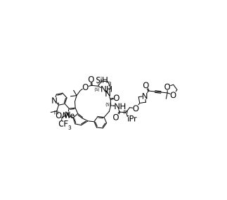 CO[C@@H](C)c1ncccc1-c1c2c3cc(ccc3n1CC(F)(F)F)-c1cccc(c1)C[C@H](NC(=O)[C@@H](COC1CN(C(=O)C#CC3(C)OCCO3)C1)C(C)C)C(=O)N1CCC[C@@]([SiH3])(N1)C(=O)OCC(C)(C)C2